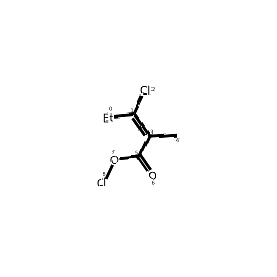 CCC(Cl)=C(C)C(=O)OCl